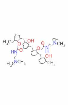 CCc1cccc(Cc2cccc(Cc3cccc(Cc4cccc(C)c4O)c3OCC(=O)NCCN(C)C)c2O)c1OCC(=O)NCCN(C)C